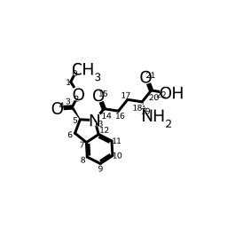 CCOC(=O)[C@@H]1Cc2ccccc2N1C(=O)CC[C@@H](N)C(=O)O